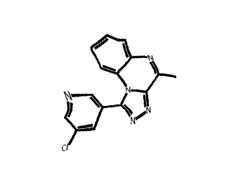 Cc1nc2ccccc2n2c(-c3cncc(Cl)c3)nnc12